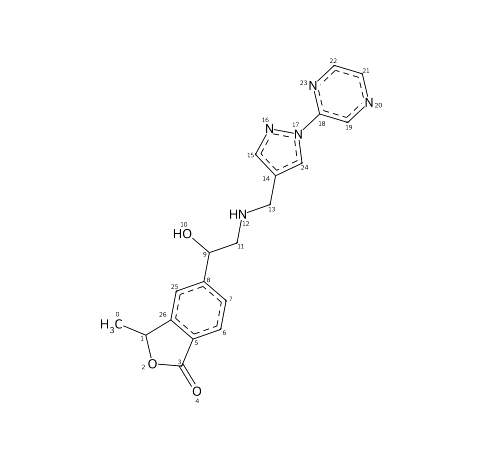 CC1OC(=O)c2ccc(C(O)CNCc3cnn(-c4cnccn4)c3)cc21